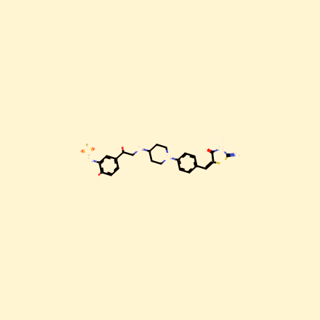 CS(=O)(=O)Nc1cc(C(O)CNC2CCN(c3ccc(/C=C4/SC(=N)NC4=O)cc3)CC2)ccc1O